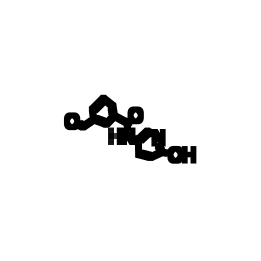 O=Cc1cccc(C(=O)Nc2ccc(O)nc2)c1